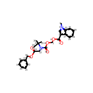 Cn1cc(C(=O)OCOC(=O)N(CC(=O)OCc2ccccc2)C(C)(C)C)c2ccccc21